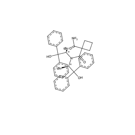 CC(C)(C)[C@@H](N(C(=O)C1(C(N)=O)CCC1)[C@H](C(C)(C)C)C(O)(c1ccccc1)c1ccccc1)C(O)(c1ccccc1)c1ccccc1